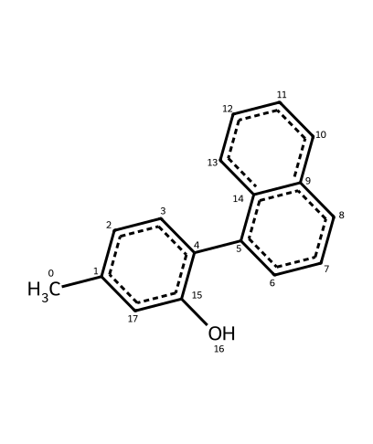 Cc1ccc(-c2cccc3ccccc23)c(O)c1